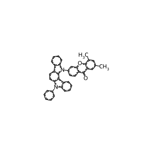 Cc1cc(C)c2oc3cc(-n4c5ccccc5c5ccc6c(c7ccccc7n6-c6ccccc6)c54)ccc3c(=O)c2c1